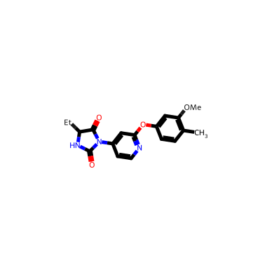 CCC1NC(=O)N(c2ccnc(Oc3ccc(C)c(OC)c3)c2)C1=O